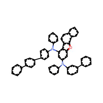 c1ccc(-c2ccc(-c3ccc(N(c4ccccc4)c4cc(N(c5ccccc5)c5cccc(-c6ccccc6)c5)cc5oc6c7ccccc7ccc6c45)cc3)cc2)cc1